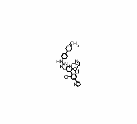 CN1CCC(c2ccc(Nc3ncc4cc(-c5c(Cl)cc(C6=CCC=N6)cc5Cl)c(=O)n(Cc5nccs5)c4n3)cc2)CC1